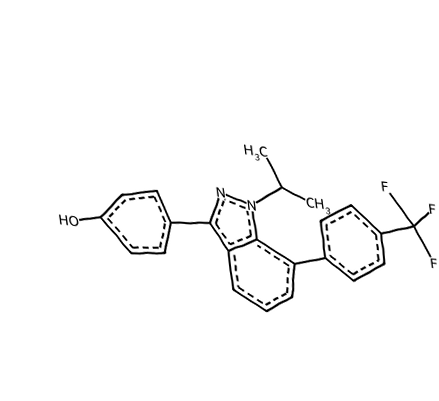 CC(C)n1nc(-c2ccc(O)cc2)c2cccc(-c3ccc(C(F)(F)F)cc3)c21